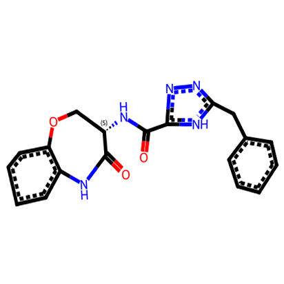 O=C(N[C@H]1COc2ccccc2NC1=O)c1nnc(Cc2ccccc2)[nH]1